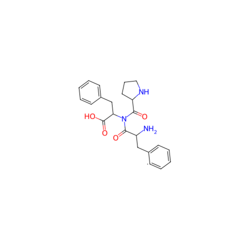 NC(Cc1[c]cccc1)C(=O)N(C(=O)C1CCCN1)C(Cc1ccccc1)C(=O)O